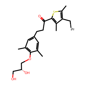 Cc1cc(CCC(=O)c2sc(C)c(CC(C)C)c2C)cc(C)c1OC[C@H](O)CO